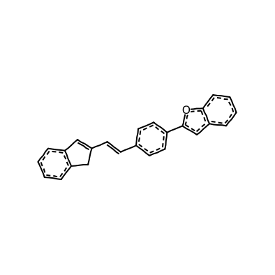 C(=Cc1ccc(-c2cc3ccccc3o2)cc1)C1=Cc2ccccc2C1